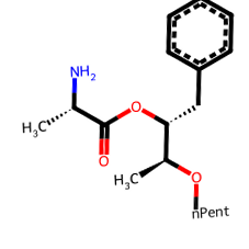 CCCCCO[C@@H](C)[C@@H](Cc1ccccc1)OC(=O)[C@H](C)N